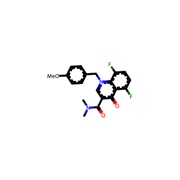 COc1ccc(Cn2cc(C(=O)N(C)C)c(=O)c3c(F)ccc(F)c32)cc1